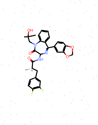 C[C@@H](Cc1ccc(F)c(F)c1)C(=O)NC1N=C(c2ccc3c(c2)OCO3)c2ccccc2N(CC(C)(C)O)C1=O